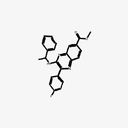 COC(=O)c1ccc2nc(-c3ccc(F)cc3)c(NC(C)c3ccccc3)nc2c1